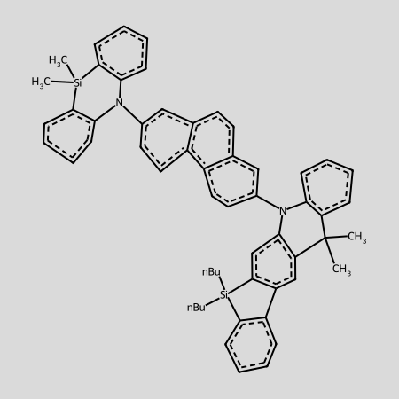 CCCC[Si]1(CCCC)c2ccccc2-c2cc3c(cc21)N(c1ccc2c(ccc4cc(N5c6ccccc6[Si](C)(C)c6ccccc65)ccc42)c1)c1ccccc1C3(C)C